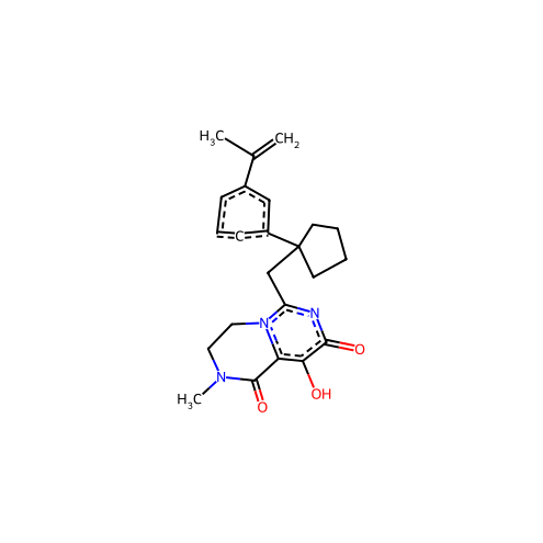 C=C(C)c1cccc(C2(Cc3nc(=O)c(O)c4n3CCN(C)C4=O)CCCC2)c1